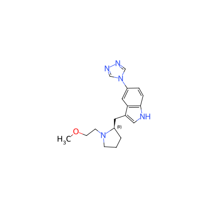 COCCN1CCC[C@@H]1Cc1c[nH]c2ccc(-n3cnnc3)cc12